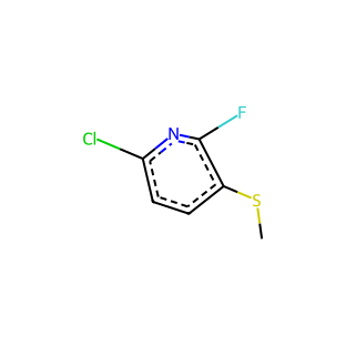 CSc1ccc(Cl)nc1F